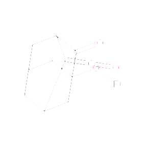 CCOC12CC3CC(C1)C(=C=O)C(C3)C2=O